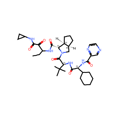 CCC(NC(=O)[C@@H]1[C@H]2CCC[C@H]2CN1C(=O)[C@@H](NC(=O)[C@@H](NC(=O)c1cnccn1)C1CCCCC1)C(C)(C)C)C(=O)C(=O)NC1CC1